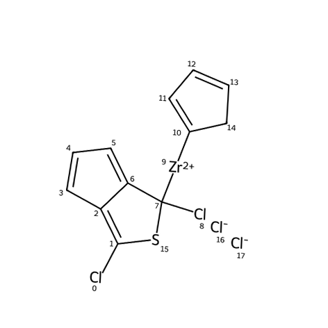 ClC1=C2C=CC=C2[C](Cl)([Zr+2][C]2=CC=CC2)S1.[Cl-].[Cl-]